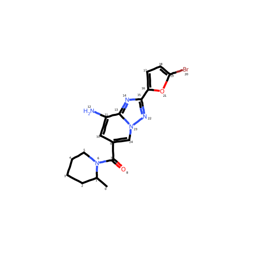 CC1CCCCN1C(=O)c1cc(N)c2nc(-c3ccc(Br)o3)nn2c1